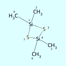 C[Si]1(C)S[Si](C)(C)S1